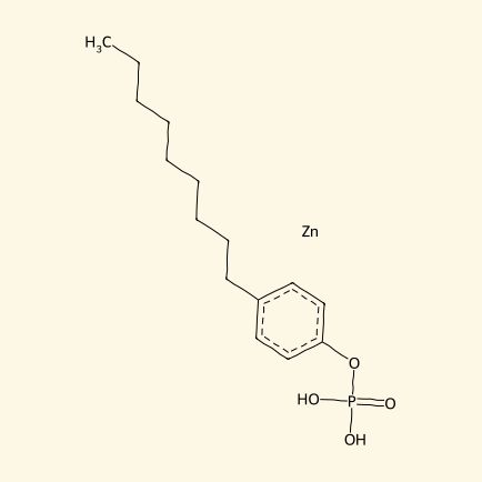 CCCCCCCCCc1ccc(OP(=O)(O)O)cc1.[Zn]